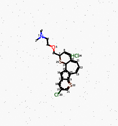 CN(C)CCOCC1C=CC2=CC=Cc3c(cc4cc(Cl)csc3-4)C2S1.Cl